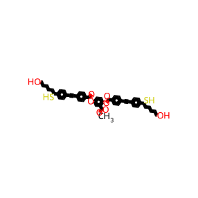 COC(=O)c1cc(OC(=O)c2ccc(C#Cc3ccc(C(S)CCCCCO)cc3)cc2)ccc1OC(=O)c1ccc(C#Cc2ccc(C(S)CCCCCO)cc2)cc1